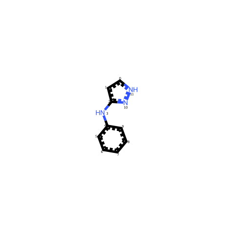 [c]1cc(Nc2ccccc2)n[nH]1